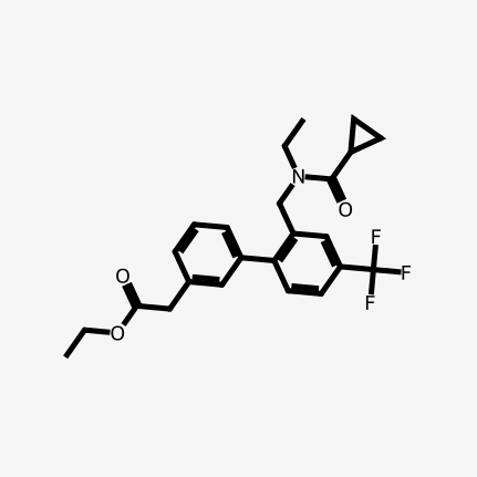 CCOC(=O)Cc1cccc(-c2ccc(C(F)(F)F)cc2CN(CC)C(=O)C2CC2)c1